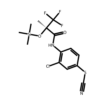 C[C@@](O[Si](C)(C)C)(C(=O)Nc1ccc(SC#N)cc1Cl)C(F)(F)F